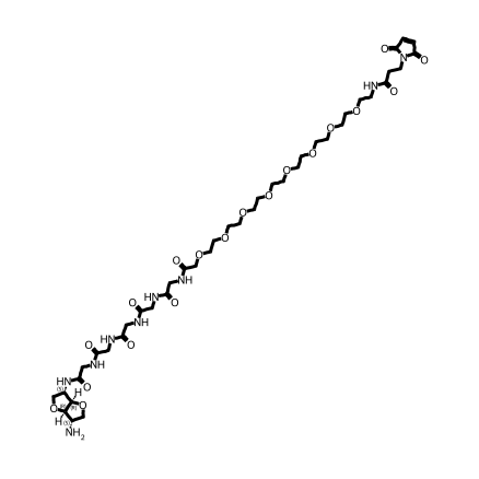 N[C@H]1CO[C@H]2[C@@H]1OC[C@@H]2NC(=O)CNC(=O)CNC(=O)CNC(=O)CNC(=O)CNC(=O)COCCOCCOCCOCCOCCOCCOCCOCCNC(=O)CCN1C(=O)C=CC1=O